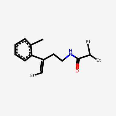 CC/C=C(/CCNC(=O)C(CC)CC)c1ccccc1C